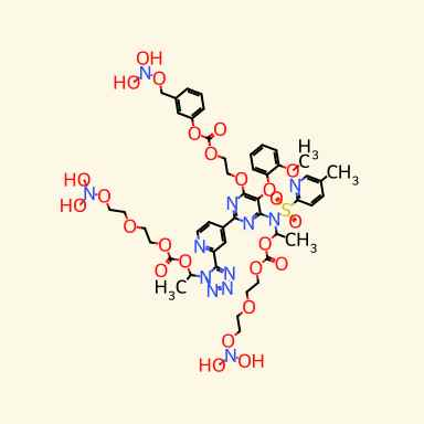 COc1ccccc1Oc1c(OCCOC(=O)Oc2cccc(CON(O)O)c2)nc(-c2ccnc(-c3nnnn3C(C)OC(=O)OCCOCCON(O)O)c2)nc1N(C(C)OC(=O)OCCOCCON(O)O)S(=O)(=O)c1ccc(C)cn1